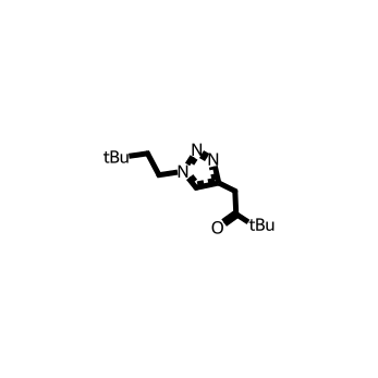 CC(C)(C)CCn1cc(CC(=O)C(C)(C)C)nn1